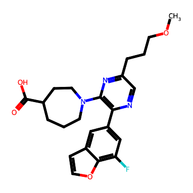 COCCCc1cnc(-c2cc(F)c3occc3c2)c(N2CCCC(C(=O)O)CC2)n1